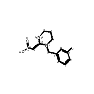 Cc1cccc(CN2CCCNC2=C[N+](=O)[O-])c1